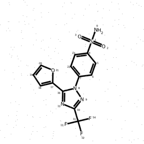 NS(=O)(=O)c1ccc(-n2nc(C(F)(F)F)nc2-c2ccco2)cc1